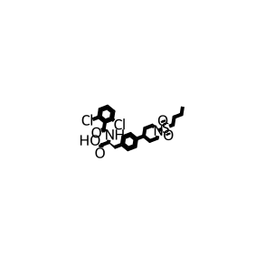 CCCCS(=O)(=O)N1CCC(c2ccc(C[C@H](NC(=O)c3c(Cl)cccc3Cl)C(=O)O)cc2)CC1